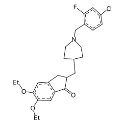 CCOc1cc2c(cc1OCC)C(=O)C(CC1CCN(Cc3ccc(Cl)cc3F)CC1)C2